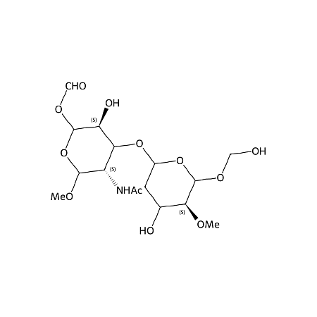 COC1OC(OC=O)[C@@H](O)C(OC2CC(O)[C@H](OC)C(OCO)O2)[C@@H]1NC(C)=O